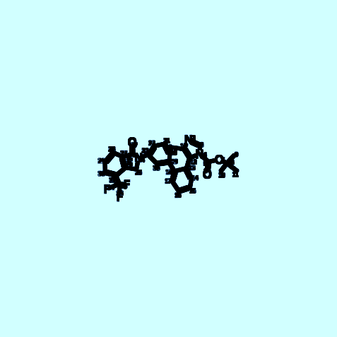 Cc1ncn(C(=O)OC(C)(C)C)c1-c1ccccc1-c1cccc(N2Cc3c(cccc3C(F)(F)F)C2=O)c1